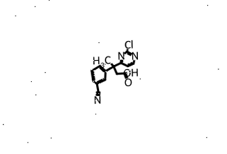 CC(CC(=O)O)(c1cccc(C#N)c1)c1ccnc(Cl)n1